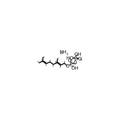 CC(C)=CCC/C(C)=C/COP(=O)(O)OP(=O)(O)O.N